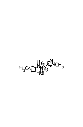 CN1CC[C@@H](NNS(=O)(=O)c2cnn(C)c2)C1.Cl